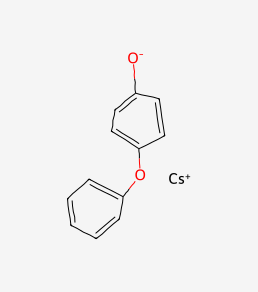 [Cs+].[O-]c1ccc(Oc2ccccc2)cc1